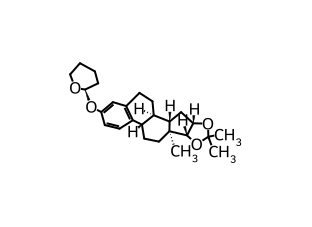 CC1(C)O[C@H]2C[C@H]3[C@@H]4CCc5cc(O[C@@H]6CCCCO6)ccc5[C@H]4CC[C@]3(C)[C@H]2O1